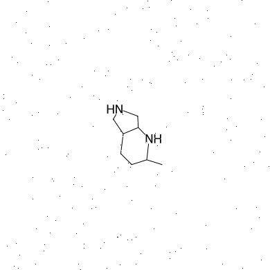 CC1CCC2CNCC2N1